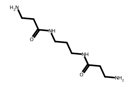 NCCC(=O)NCCCNC(=O)CCN